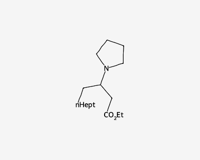 CCCCCCCCC(CC(=O)OCC)N1CCCC1